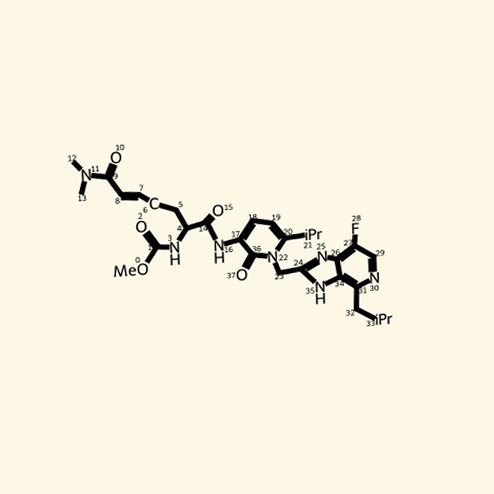 COC(=O)NC(CCC=CC(=O)N(C)C)C(=O)Nc1ccc(C(C)C)n(Cc2nc3c(F)cnc(CC(C)C)c3[nH]2)c1=O